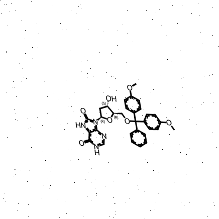 COc1ccc(C(OC[C@H]2O[C@@H](n3c(=O)[nH]c4c(=O)[nH]cnc43)C[C@@H]2O)(c2ccccc2)c2ccc(OC)cc2)cc1